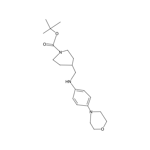 CC(C)(C)OC(=O)N1CCC(CNc2ccc(N3CCOCC3)cc2)CC1